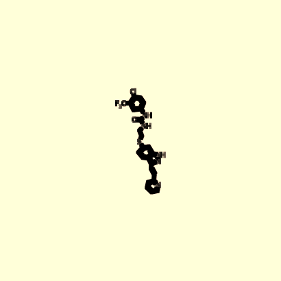 O=C(NCCSc1ccc2c(C=Cc3ccccn3)n[nH]c2c1)Nc1ccc(Cl)c(C(F)(F)F)c1